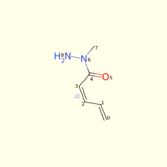 C=C/C=C\C(=O)N(C)N